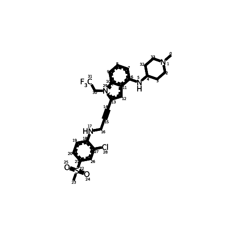 CN1CCC(Nc2cccc3c2cc(C#CCNc2ccc(S(C)(=O)=O)cc2Cl)n3CC(F)(F)F)CC1